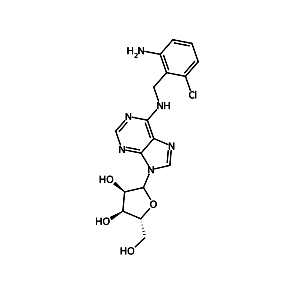 Nc1cccc(Cl)c1CNc1ncnc2c1ncn2C1O[C@H](CO)[C@@H](O)[C@H]1O